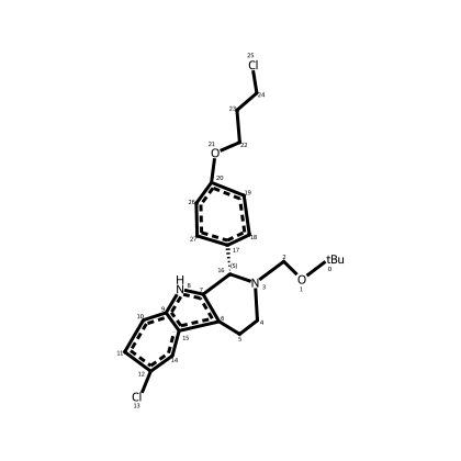 CC(C)(C)OCN1CCc2c([nH]c3ccc(Cl)cc23)[C@@H]1c1ccc(OCCCCl)cc1